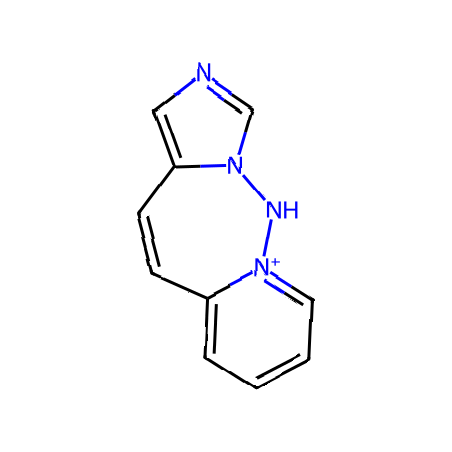 C1=Cc2cccc[n+]2Nn2cncc21